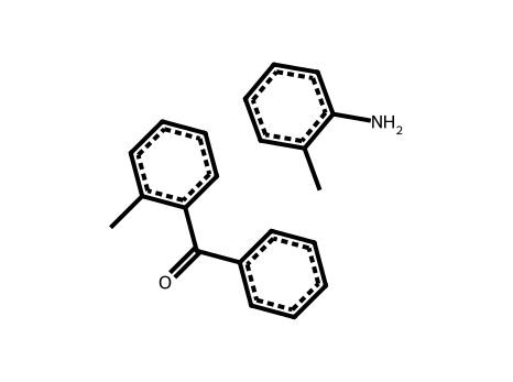 Cc1ccccc1C(=O)c1ccccc1.Cc1ccccc1N